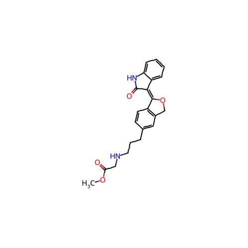 COC(=O)CNCCCc1ccc2c(c1)COC2=C1C(=O)Nc2ccccc21